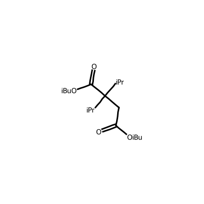 CC(C)COC(=O)CC(C(=O)OCC(C)C)(C(C)C)C(C)C